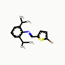 CC(C)c1cccc(C(C)C)c1/N=C/c1ccc(Br)s1